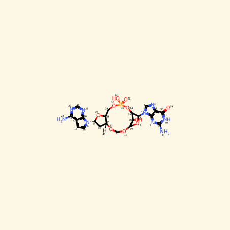 Nc1nc2c(ncn2C2OC3OCO[C@@H]4C[C@H](n5ccc6c(N)ncnc65)OC4COP(=O)(O)OC2C3O)c(=O)[nH]1